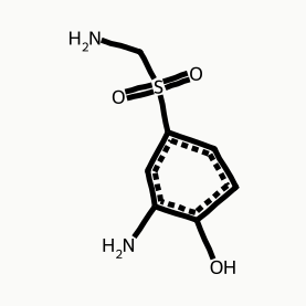 NCS(=O)(=O)c1ccc(O)c(N)c1